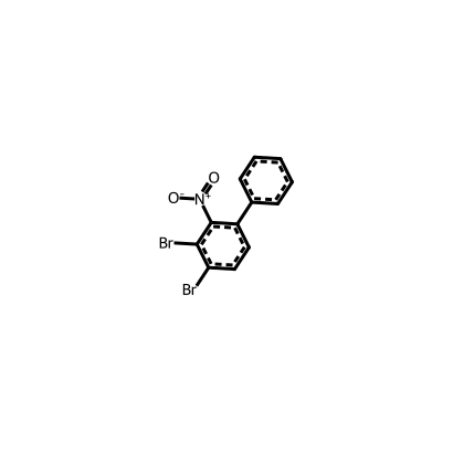 O=[N+]([O-])c1c(-c2ccccc2)ccc(Br)c1Br